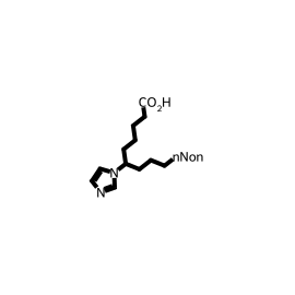 CCCCCCCCCCCCC(CCCCC(=O)O)n1ccnc1